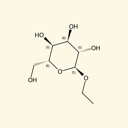 CCO[C@H]1O[C@H](CO)[C@@H](O)[C@@H](O)[C@@H]1O